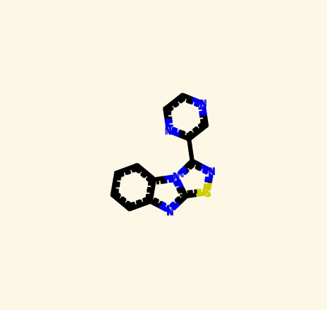 c1ccc2c(c1)nc1snc(-c3cnccn3)n12